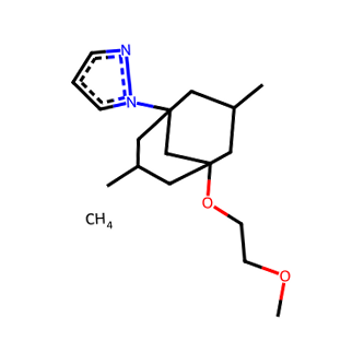 C.COCCOC12CC(C)CC(n3cccn3)(CC(C)C1)C2